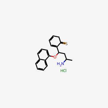 CC(N)CC(Oc1cccc2ccccc12)C1=CC=CCC1=S.Cl